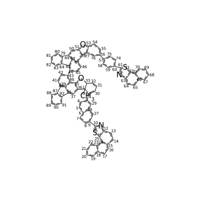 CC12C(c3ccc4ccc(-c5nc6ccc7ccc8ccccc8c7c6s5)cc4c3)=CC=CC1Oc1c2cc2c3c(ccc(-c4ccc5c6c(cc7oc8ccc(-c9ccc(-c%10nc%11ccc%12ccccc%12c%11s%10)cc9)cc8c75)-c5ccccc5-c46)c13)-c1ccccc1-2